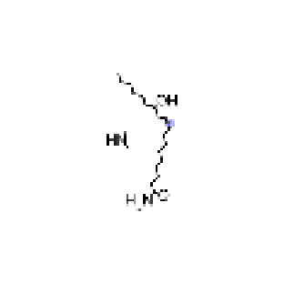 CCCCCCC(O)C/C=C\CCCCCCCC(N)=O.CNC